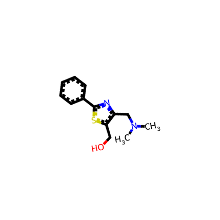 CN(C)Cc1nc(-c2ccccc2)sc1CO